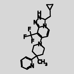 CC1(c2ccccn2)CCN(C2=C(C(F)(F)F)C3=NNC(CC4CC4)N3C=C2)CC1